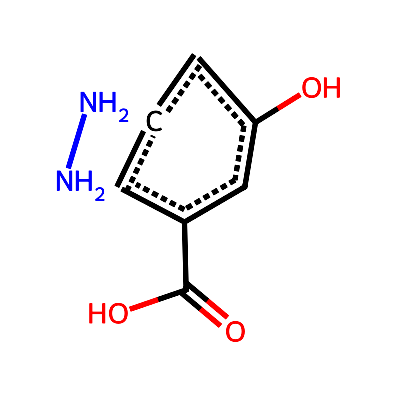 NN.O=C(O)c1cccc(O)c1